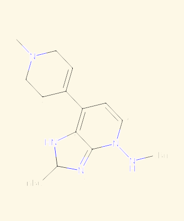 CCCCC1N=C2C(=C(C3=CCN(C)CC3)C=CN2NC(C)(C)C)N1